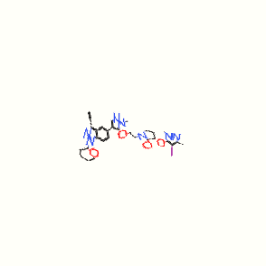 C#Cc1nn(C2CCCCO2)c2ccc(-c3cnn(C)c3OCCN3CC[C@@H](Oc4c(I)c(C)nn4C)C3=O)cc12